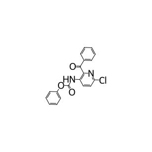 O=C(Nc1ccc(Cl)nc1C(=O)c1ccccc1)Oc1ccccc1